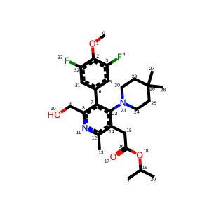 COc1c(F)cc(-c2c(CO)nc(C)c(CC(=O)OC(C)C)c2N2CCC(C)(C)CC2)cc1F